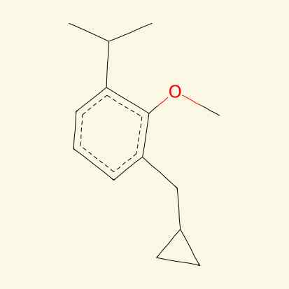 COc1c(CC2CC2)cccc1C(C)C